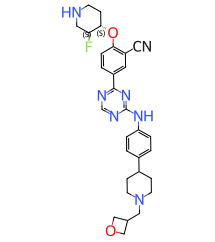 N#Cc1cc(-c2ncnc(Nc3ccc(C4CCN(CC5COC5)CC4)cc3)n2)ccc1O[C@H]1CCNC[C@@H]1F